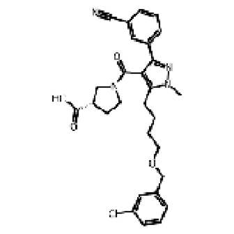 Cn1nc(-c2cccc(C#N)c2)c(C(=O)N2CC[C@H](C(=O)O)C2)c1CCCCOCc1cccc(Cl)c1